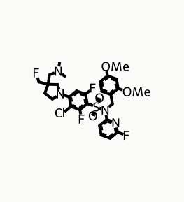 COc1ccc(CN(c2cccc(F)n2)S(=O)(=O)c2c(F)cc(N3CCC(CF)(CN(C)C)C3)c(Cl)c2F)c(OC)c1